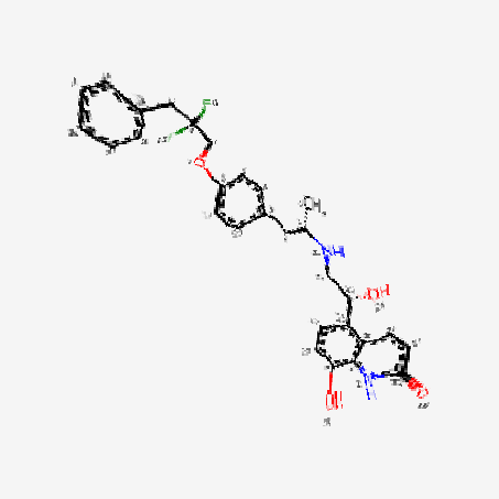 C[C@@H](Cc1ccc(OCC(F)(F)Cc2ccccc2)cc1)NC[C@H](O)c1ccc(O)c2[nH]c(=O)ccc12